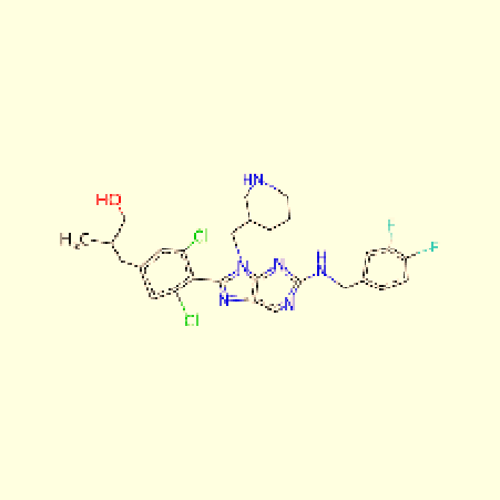 CC(CO)Cc1cc(Cl)c(-c2nc3cnc(NCc4ccc(F)c(F)c4)nc3n2CC2CCCNC2)c(Cl)c1